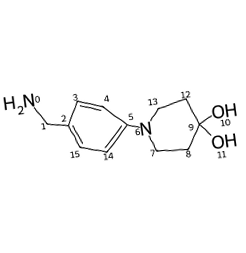 NCc1ccc(N2CCC(O)(O)CC2)cc1